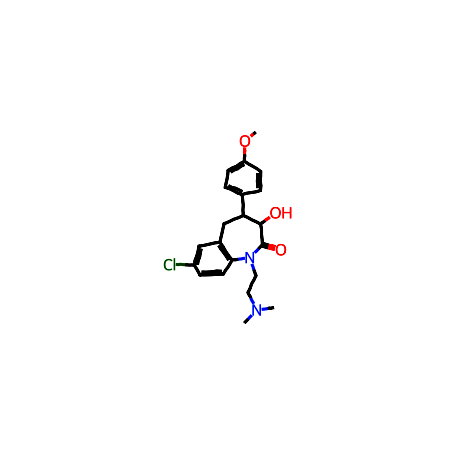 COc1ccc(C2Cc3cc(Cl)ccc3N(CCN(C)C)C(=O)C2O)cc1